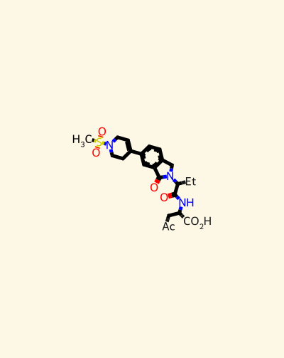 CCC(C(=O)NC(CC(C)=O)C(=O)O)N1Cc2ccc(C3=CCN(S(C)(=O)=O)CC3)cc2C1=O